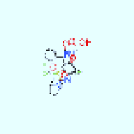 O=CN(CC(=O)O)c1cc(F)c2nc(N3C4CCC3CC(OCc3c(-c5ccccc5OC(F)(F)F)noc3C3CC3)C4)sc2c1